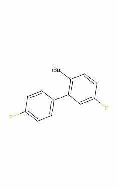 CCC(C)c1ccc(F)cc1-c1ccc(F)cc1